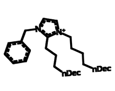 CCCCCCCCCCCCCC[n+]1ccn(Cc2ccccc2)c1CCCCCCCCCCCCC